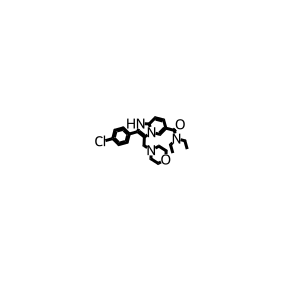 CCN(CC)C(=O)C1=CN2C(CN3CCOCC3)=C(c3ccc(Cl)cc3)NC2C=C1